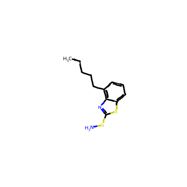 CCCCCc1cccc2sc(SN)nc12